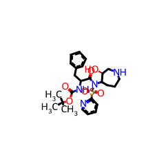 CC(C)(C)OC(=O)NC(Cc1ccccc1)C(=O)N(C1CCCNC[C@@H]1O)S(=O)(=O)c1ccccn1